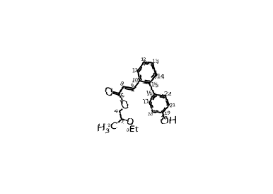 CCOC(C)COC(=O)C=Cc1ccccc1-c1ccc(O)cc1